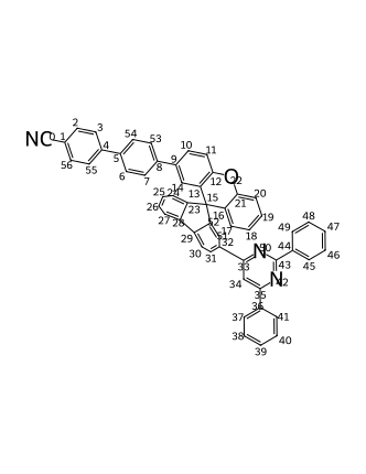 N#Cc1ccc(-c2ccc(-c3ccc4c(c3)C3(c5ccccc5O4)c4ccccc4-c4ccc(-c5cc(-c6ccccc6)nc(-c6ccccc6)n5)cc43)cc2)cc1